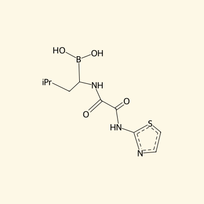 CC(C)CC(NC(=O)C(=O)Nc1nccs1)B(O)O